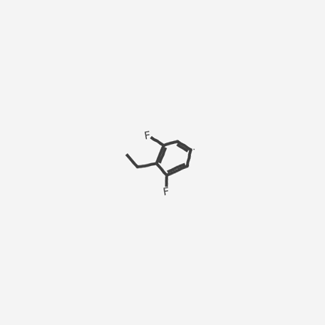 CCc1c(F)c[c]cc1F